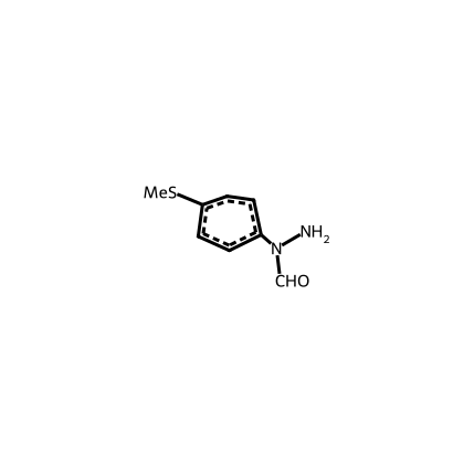 CSc1ccc(N(N)C=O)cc1